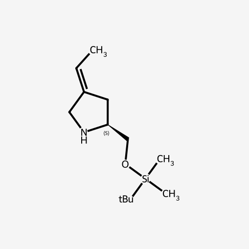 CC=C1CN[C@H](CO[Si](C)(C)C(C)(C)C)C1